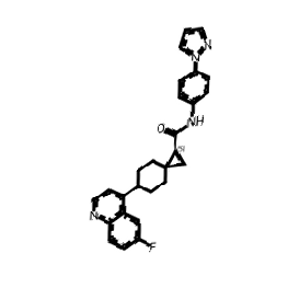 O=C(Nc1ccc(-n2cccn2)cc1)[C@H]1CC12CCC(c1ccnc3ccc(F)cc13)CC2